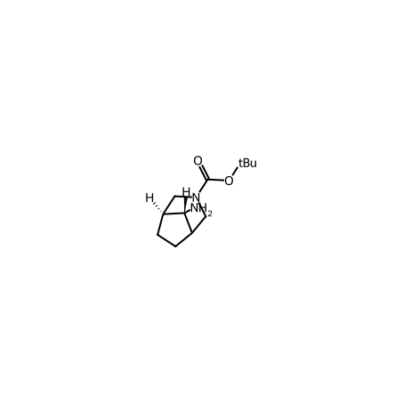 CC(C)(C)OC(=O)N1CC2CC[C@@H](C1)[C@@H]2N